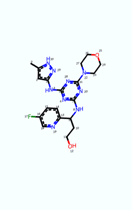 Cc1cc(Nc2nc(NC(CCO)c3ccc(F)cn3)nc(N3CCOCC3)n2)n[nH]1